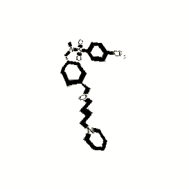 CN(C[C@H]1CC[C@H](COCC=CCN2CCCCC2)CC1)S(=O)(=O)c1ccc(C(F)(F)F)cc1